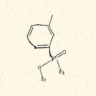 CCOP(=O)(CC)c1cccc(C)c1